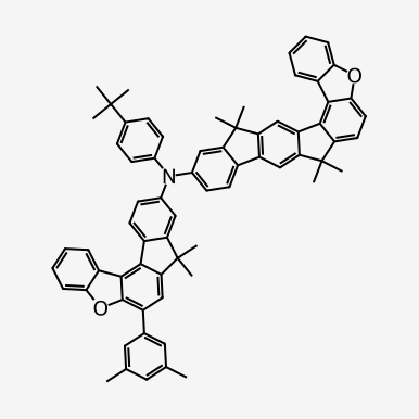 Cc1cc(C)cc(-c2cc3c(c4c2oc2ccccc24)-c2ccc(N(c4ccc(C(C)(C)C)cc4)c4ccc5c(c4)C(C)(C)c4cc6c(cc4-5)C(C)(C)c4ccc5oc7ccccc7c5c4-6)cc2C3(C)C)c1